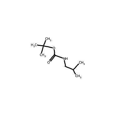 CC(C)[CH]NC(=O)OC(C)(C)C